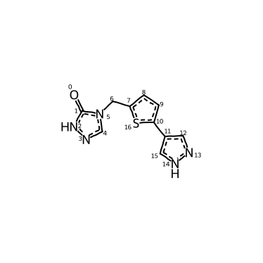 O=c1[nH]ncn1Cc1ccc(-c2cn[nH]c2)s1